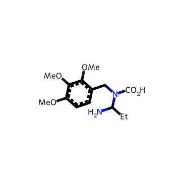 CCC(N)N(Cc1ccc(OC)c(OC)c1OC)C(=O)O